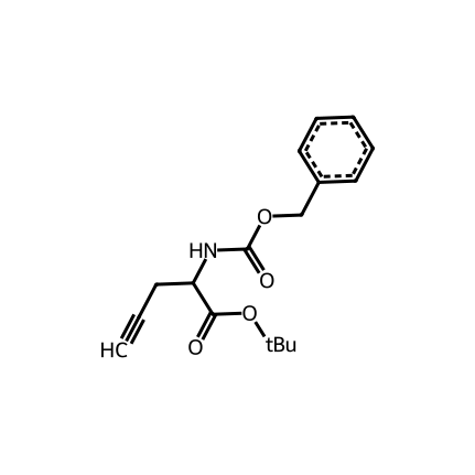 C#CCC(NC(=O)OCc1ccccc1)C(=O)OC(C)(C)C